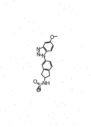 COc1ccc2c(c1)nnn2-c1ccc2c(c1)CC(N[SH](=O)=O)C2